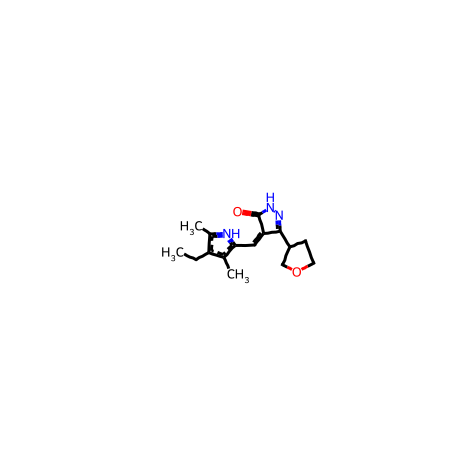 CCc1c(C)[nH]c(C=C2C(=O)NN=C2C2CCOC2)c1C